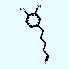 O=CCCCCc1ccc(O)c(O)c1